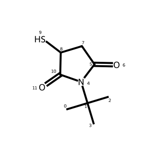 CC(C)(C)N1C(=O)CC(S)C1=O